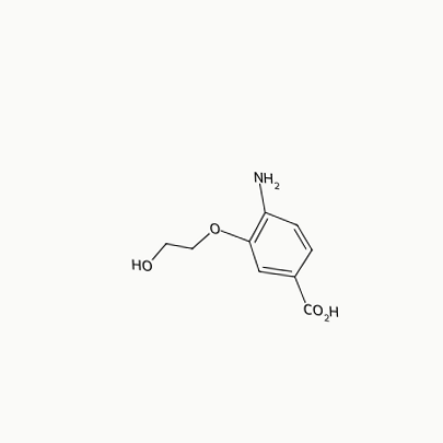 Nc1ccc(C(=O)O)cc1OCCO